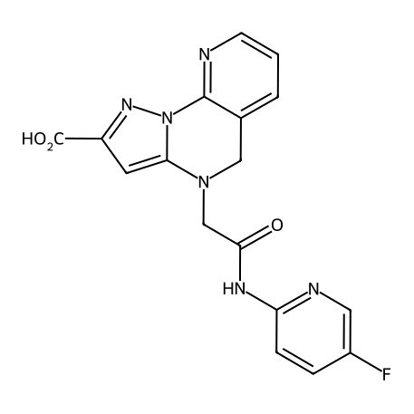 O=C(CN1Cc2cccnc2-n2nc(C(=O)O)cc21)Nc1ccc(F)cn1